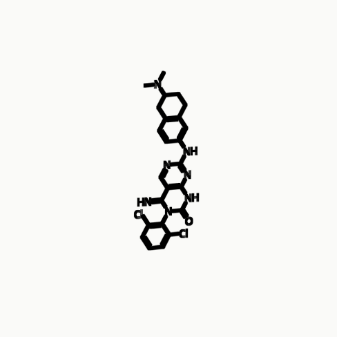 CN(C)C1CCc2cc(Nc3ncc4c(=N)n(-c5c(Cl)cccc5Cl)c(=O)[nH]c4n3)ccc2C1